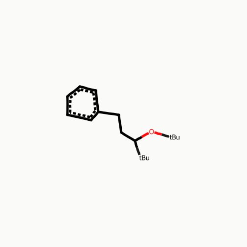 CC(C)(C)OC(CCc1ccccc1)C(C)(C)C